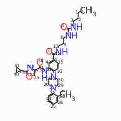 CCCCNC(=O)NCCCNC(=O)c1ccc(N2CCN(c3ccccc3C)CC2)c(NC(=O)c2coc(C3CC3)n2)c1